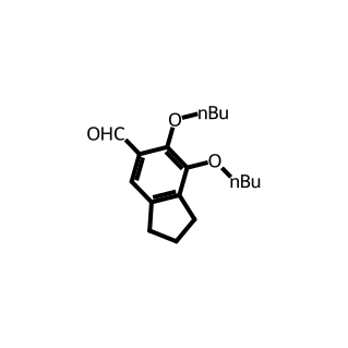 CCCCOc1c(C=O)cc2c(c1OCCCC)CCC2